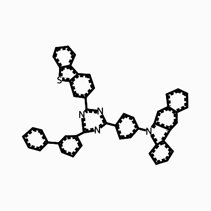 c1ccc(-c2cccc(-c3nc(-c4ccc(-n5c6ccccc6c6cc7ccccc7cc65)cc4)nc(-c4ccc5c(c4)sc4ccccc45)n3)c2)cc1